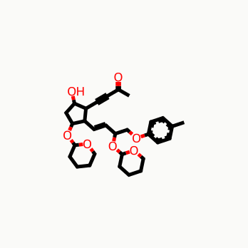 CC(=O)C#CC1C(O)CC(OC2CCCCO2)C1C=CC(COc1ccc(C)cc1)OC1CCCCO1